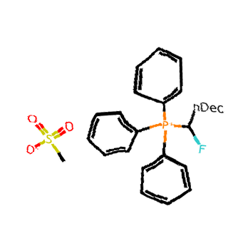 CCCCCCCCCCC(F)[P+](c1ccccc1)(c1ccccc1)c1ccccc1.CS(=O)(=O)[O-]